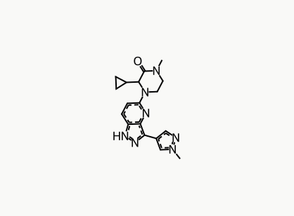 CN1CCN(c2ccc3[nH]nc(-c4cnn(C)c4)c3n2)C(C2CC2)C1=O